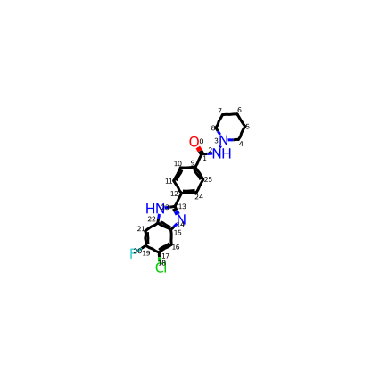 O=C(NN1CCCCC1)c1ccc(-c2nc3cc(Cl)c(F)cc3[nH]2)cc1